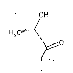 C[C@H](O)C(=O)I